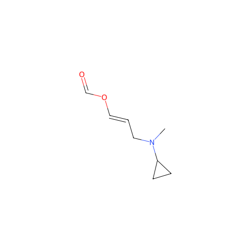 CN(C/C=C/OC=O)C1CC1